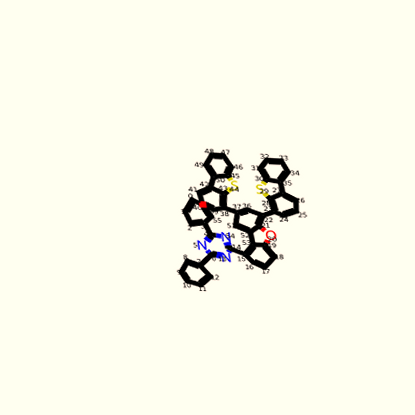 c1ccc(-c2nc(-c3ccccc3)nc(-c3cccc4oc5c(-c6cccc7c6sc6ccccc67)cc(-c6cccc7c6sc6ccccc67)cc5c34)n2)cc1